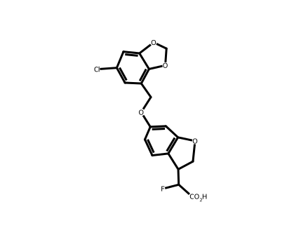 O=C(O)C(F)C1COc2cc(OCc3cc(Cl)cc4c3OCO4)ccc21